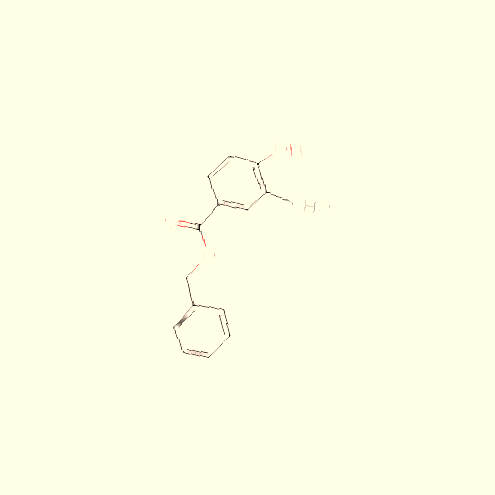 O=Cc1cc(C(=O)OCc2ccccc2)ccc1O